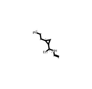 C=CNC(CC)C1CC1CCC(C)C